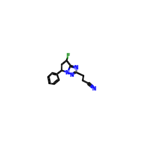 N#CCCc1nc2n(n1)C(c1ccccc1)CC2F